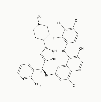 Cc1ncccc1[C@H](Nc1cc(Cl)c2ncc(C#N)c(Nc3ccc(Cl)c(Cl)c3F)c2c1)C1=CN(C2CCN(C(C)(C)C)CC2)NN1